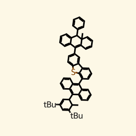 CC1C(C(C)(C)C)=CC(C(C)(C)C)=CC1c1c2ccccc2c(-c2cccc3c2sc2ccc(C4=C5C=CC=CC5(C)C(c5ccccc5)c5ccccc54)cc23)c2ccccc12